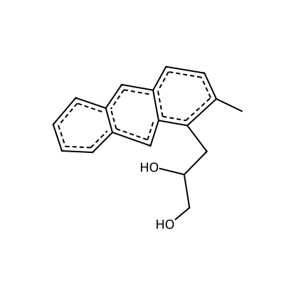 Cc1ccc2cc3ccccc3cc2c1CC(O)CO